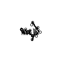 COCc1cc(COc2cc3c(cc2OC)C(=O)N2c4ccccc4C[C@H]2CN3)cc(NC(=O)[C@H](C)NC(=O)[C@H](C)NC(=O)CCCCC(=O)OC)c1